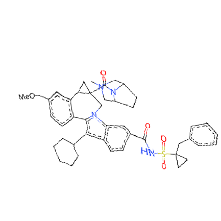 COc1ccc2c(c1)C1CC1(C(=O)N1C3CCC1CN(C)C3)Cn1c-2c(C2CCCCC2)c2ccc(C(=O)NS(=O)(=O)C3(Cc4ccccc4)CC3)cc21